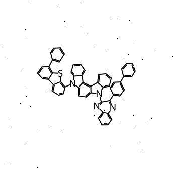 c1ccc(-c2ccc(-c3nc4ccccc4nc3-n3c4ccccc4c4c5c6ccccc6n(-c6cccc7c6sc6c(-c8ccccc8)cccc67)c5ccc43)cc2)cc1